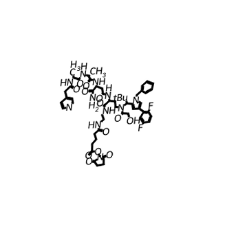 CC(NC(=O)Cc1ccncc1)C(=O)NC(C)C(=O)NC(CC(=O)NC(CCN(C(=O)CO)C(c1cc(-c2cc(F)ccc2F)cn1Cc1ccccc1)C(C)(C)C)C(=O)NCCNC(=O)CCCC(=O)ON1C(=O)CCC1=O)C(N)=O